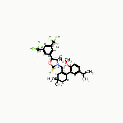 COc1ccc(C(C)C)cc1C1=C(CN2C(=S)OC(c3cc(C(F)(F)F)cc(C(F)(F)F)c3)[C@@H]2C)CC(C)(C)CC1